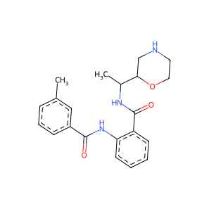 Cc1cccc(C(=O)Nc2ccccc2C(=O)NC(C)C2CNCCO2)c1